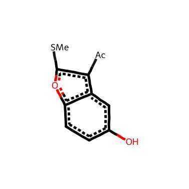 CSc1oc2ccc(O)cc2c1C(C)=O